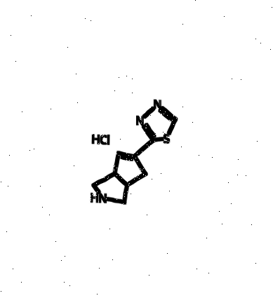 C1=C(c2nncs2)CC2CNCC12.Cl